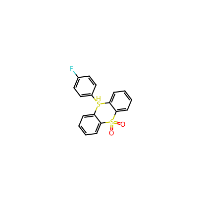 O=S1(=O)c2ccccc2[SH](c2ccc(F)cc2)c2ccccc21